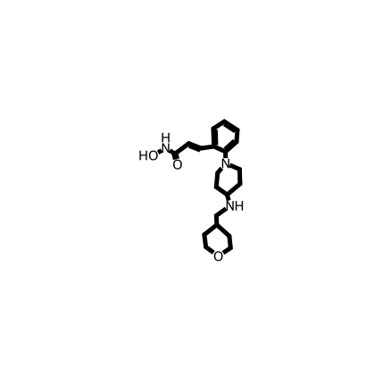 O=C(/C=C/c1ccccc1N1CCC(NCC2CCOCC2)CC1)NO